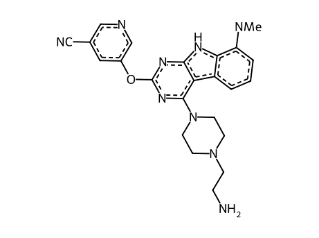 CNc1cccc2c1[nH]c1nc(Oc3cncc(C#N)c3)nc(N3CCN(CCN)CC3)c12